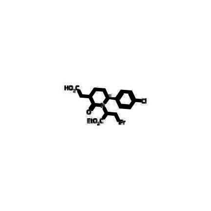 CCOC(=O)C(CC(C)C)N1C(=O)C(CC(=O)O)CC[C@H]1c1ccc(Cl)cc1